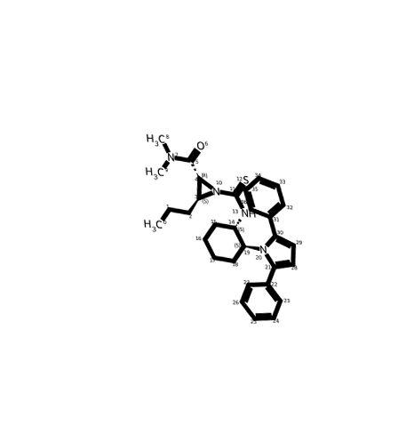 CCC[C@H]1[C@H](C(=O)N(C)C)N1C(=S)N[C@H]1CCCC[C@@H]1n1c(-c2ccccc2)ccc1-c1ccccc1